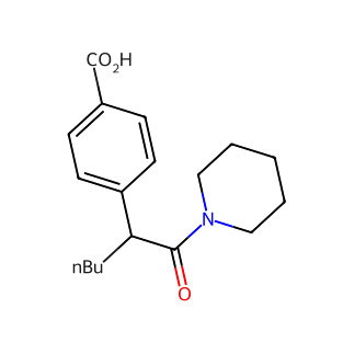 CCCCC(C(=O)N1CCCCC1)c1ccc(C(=O)O)cc1